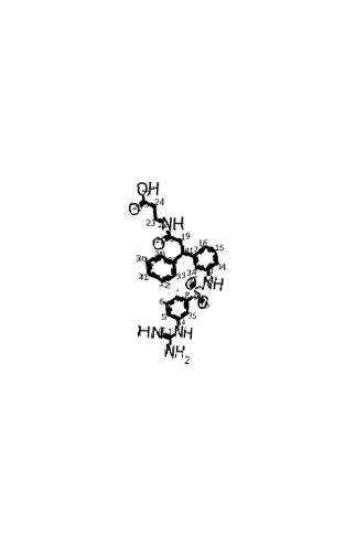 N=C(N)Nc1cccc(S(=O)(=O)Nc2cccc(C(CC(=O)NCCC(=O)O)c3ccccc3)c2)c1